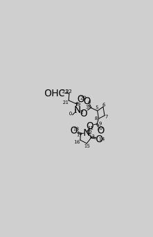 CN(OC(=O)C1CCC1C(=O)ON1C(=O)CCC1=O)C(=O)CCC=O